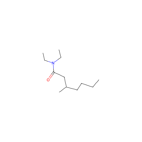 CCCCC(C)CC(=O)N(CC)CC